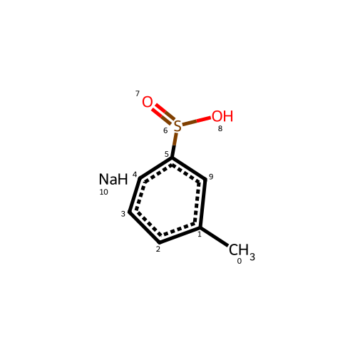 Cc1cccc(S(=O)O)c1.[NaH]